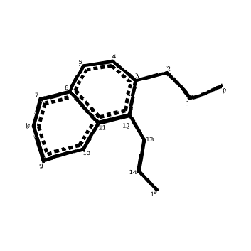 CCCc1c[c]c2ccccc2c1CCC